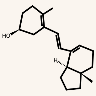 CC1=C(/C=C/C2=CCC[C@]3(C)CCC[C@@H]23)C[C@@H](O)CC1